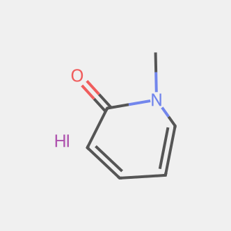 Cn1ccccc1=O.I